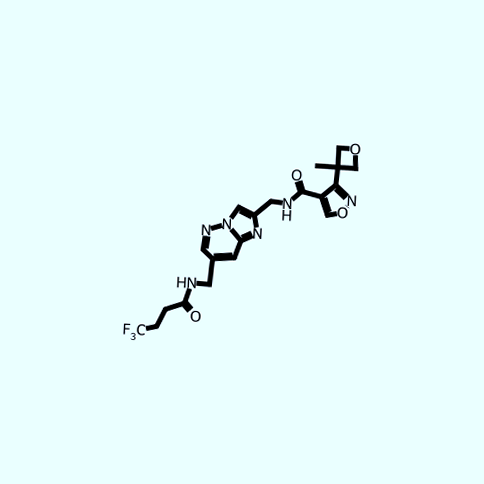 CC1(c2nocc2C(=O)NCc2cn3ncc(CNC(=O)CCC(F)(F)F)cc3n2)COC1